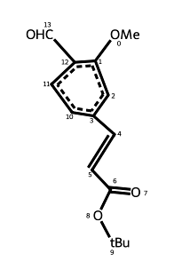 COc1cc(/C=C/C(=O)OC(C)(C)C)ccc1C=O